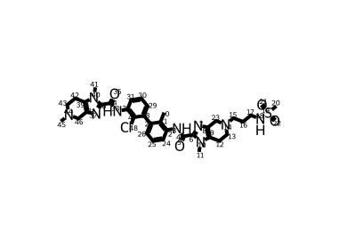 Cc1c(NC(=O)c2nc3c(n2C)CCN(CCCNS(C)(=O)=O)C3)cccc1-c1cccc(NC(=O)c2nc3c(n2C)CCN(C)C3)c1Cl